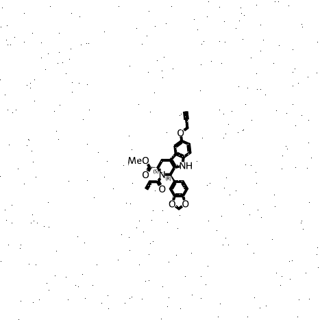 C#CCOc1ccc2[nH]c3c(c2c1)C[C@@H](C(=O)OC)N(C(=O)C=C)[C@@H]3c1ccc2c(c1)OCO2